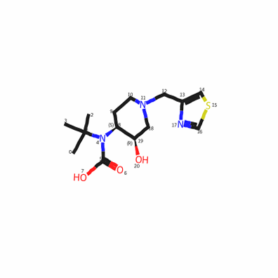 CC(C)(C)N(C(=O)O)[C@H]1CCN(Cc2cscn2)C[C@H]1O